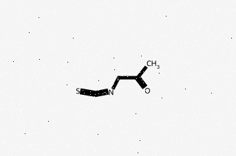 CC(=O)CN=C=S